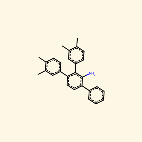 Cc1ccc(-c2ccc(-c3ccccc3)c(N)c2-c2ccc(C)c(C)c2)cc1C